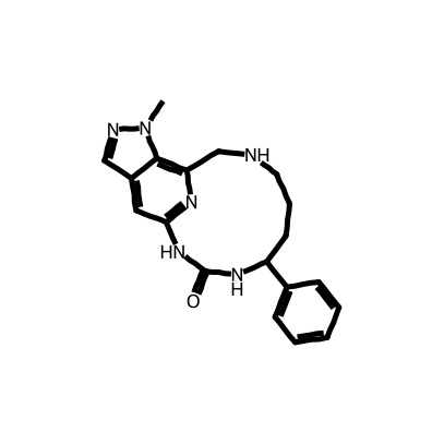 Cn1ncc2cc3nc(c21)CNCCCC(c1ccccc1)NC(=O)N3